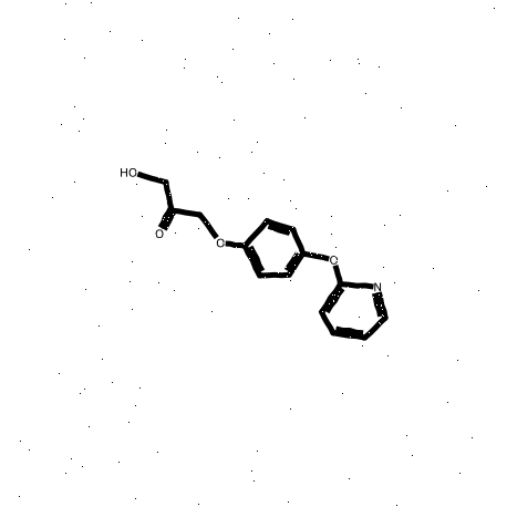 O=C(CO)COc1ccc(Oc2ccccn2)cc1